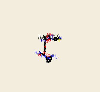 Cc1ncsc1-c1ccc(CNC(=O)[C@@H]2C[C@@H](O)CN2C(=O)[C@@H](NC(=O)CCCCCCCCOC[C@H](CCC(N)=O)NC(=O)[C@@H]2Cc3cccc4c3N2C(=O)[C@@H](N)CC4)C(C)(C)C)cc1